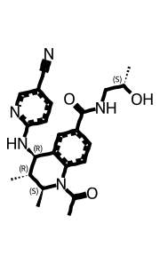 CC(=O)N1c2ccc(C(=O)NC[C@H](C)O)cc2[C@H](Nc2ccc(C#N)cn2)[C@@H](C)[C@@H]1C